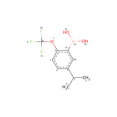 CC(C)c1ccc(OC(F)(F)F)c(B(O)O)c1